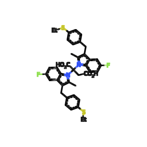 CCSc1ccc(Cc2c(C)n(C(CC(=O)O)(C(=O)O)n3c(C)c(Cc4ccc(SCC)cc4)c4cc(F)ccc43)c3ccc(F)cc23)cc1